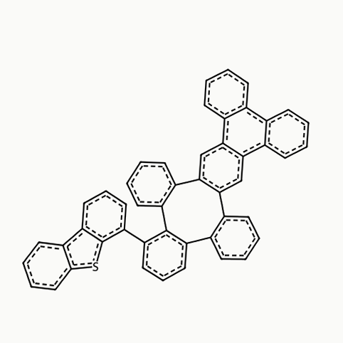 c1ccc2c(c1)-c1cc3c4ccccc4c4ccccc4c3cc1-c1ccccc1-c1c-2cccc1-c1cccc2c1sc1ccccc12